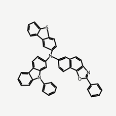 c1ccc(-c2nc3ccc4cc(N(c5ccc6sc7ccccc7c6c5)c5ccc6c7ccccc7n(-c7ccccc7)c6c5)ccc4c3o2)cc1